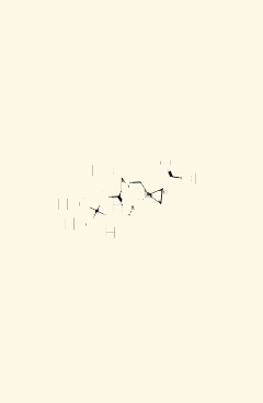 CN(C[C@]1(C)C[C@H]1C(=O)O)C(=O)OC(C)(C)C